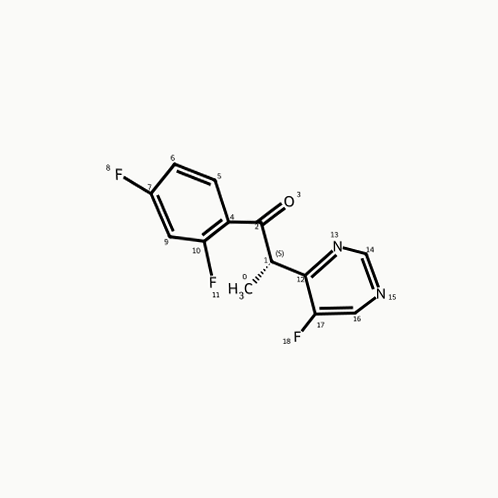 C[C@H](C(=O)c1ccc(F)cc1F)c1ncncc1F